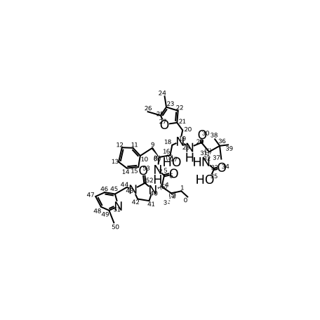 CC[C@H](C)[C@@H](C(=O)N[C@@H](Cc1ccccc1)[C@@H](O)CN(Cc1cc(C)c(C)o1)NC(=O)[C@@H](NC(=O)O)C(C)(C)C)N1CCN(Cc2cccc(C)n2)C1=O